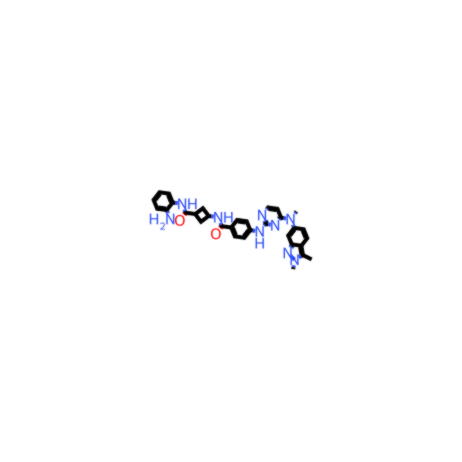 Cc1c2ccc(N(C)c3ccnc(Nc4ccc(C(=O)NC5CC(C(=O)Nc6ccccc6N)C5)cc4)n3)cc2nn1C